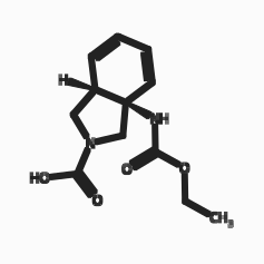 CCOC(=O)N[C@]12C=CC=C[C@H]1CN(C(=O)O)C2